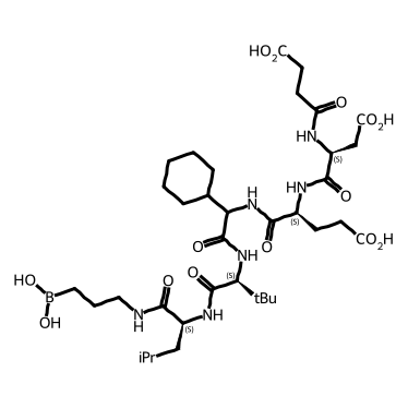 CC(C)C[C@H](NC(=O)[C@@H](NC(=O)C(NC(=O)[C@H](CCC(=O)O)NC(=O)[C@H](CC(=O)O)NC(=O)CCC(=O)O)C1CCCCC1)C(C)(C)C)C(=O)NCCCB(O)O